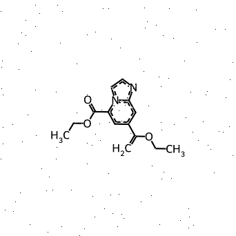 C=C(OCC)c1cc(C(=O)OCC)n2ccnc2c1